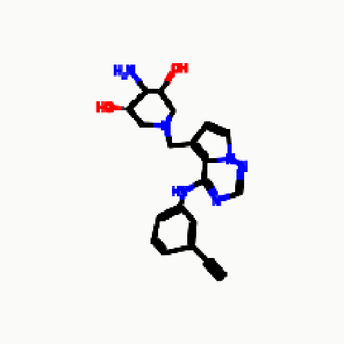 C#Cc1cccc(Nc2ncnn3ccc(CN4C[C@H](O)C(N)[C@@H](O)C4)c23)c1